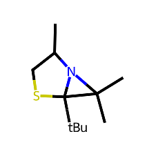 CC1CSC2(C(C)(C)C)N1C2(C)C